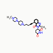 Cc1nc2cccc(C#CCCCN3CCC(N4CCN(C)CC4)CC3)c2c(=O)n1C1CCC(=O)NC1=O